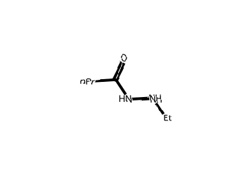 CCCC(=O)NNCC